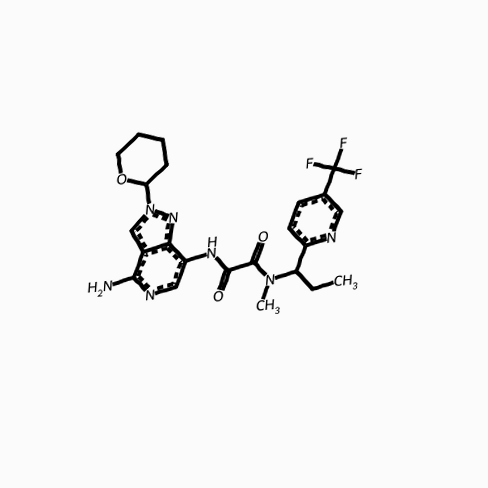 CCC(c1ccc(C(F)(F)F)cn1)N(C)C(=O)C(=O)Nc1cnc(N)c2cn(C3CCCCO3)nc12